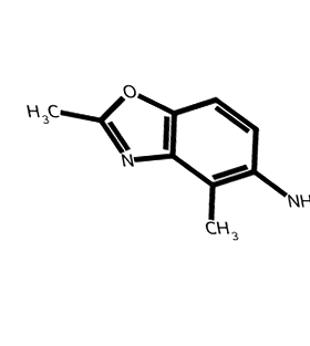 Cc1nc2c(C)c(N)ccc2o1